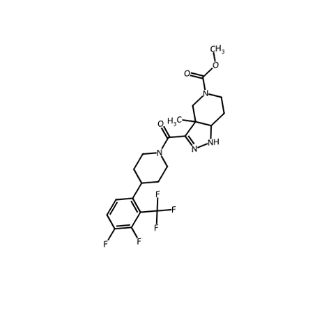 COC(=O)N1CCC2NN=C(C(=O)N3CCC(c4ccc(F)c(F)c4C(F)(F)F)CC3)C2(C)C1